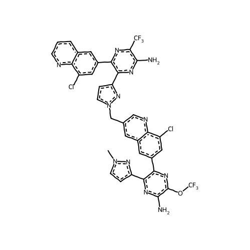 Cn1ccc(-c2nc(N)c(OC(F)(F)F)nc2-c2cc(Cl)c3ncc(Cn4ccc(-c5nc(N)c(C(F)(F)F)nc5-c5cc(Cl)c6ncccc6c5)n4)cc3c2)n1